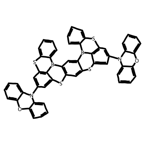 c1ccc2c(c1)Oc1ccccc1N2c1cc2c3c(c1)Sc1cc4c(cc1B3c1ccccc1S2)B1c2ccccc2Sc2cc(N3c5ccccc5Oc5ccccc53)cc(c21)S4